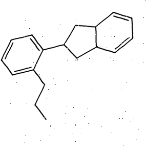 CCCc1ccccc1C1[C]C2C=CC=CC2C1